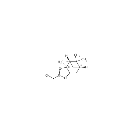 CC1(C)[C@@H]2CC3OB(CCl)O[C@@]3(C)[C@H]1C2